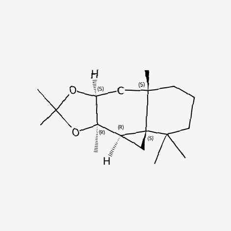 CC1(C)O[C@H]2C[C@]3(C)CCCC(C)(C)[C@@]34C[C@H]4[C@@]2(C)O1